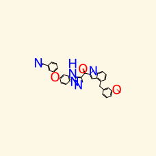 COc1cccc(Cc2cccc3c2cc(C(=O)c2cnn4c2[nH]c2cc(Oc5cccc(C#N)c5)ccc24)n3C)c1